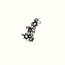 Cc1ccc(-c2nccs2)c(C(=O)N2C[C@H]3C[C@@H](Oc4ccc(C(F)(F)F)cn4)[C@@H]2C3)n1